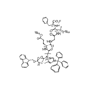 C[C@@H](OC(C)(C)C)[C@H](NC(=O)CNC(=O)[C@H](CCC(=O)OC(C)(C)C)NC(=O)C(C)(C)NC(=O)[C@H](Cc1cn(C(c2ccccc2)(c2ccccc2)c2ccccc2)cn1)NC(=O)OCC1c2ccccc2-c2ccccc21)C(=O)N[C@@H](Cc1ccccc1)C(=O)O